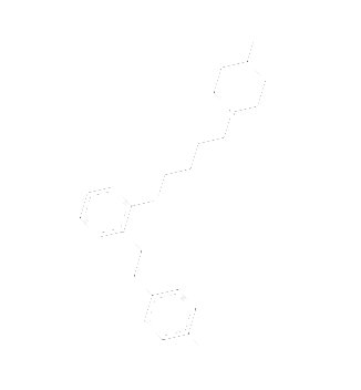 O=C(O)C1CCN(CCCCOc2ccccc2CCc2ccc(F)cc2)CC1